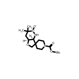 CC(C)(C)OC(=O)N1CCC2(CC1)CO[C@H]1CC(C)(C)[S+]([O-])N[C@H]12